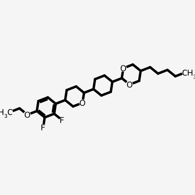 CCCCCC1COC(C2CCC(C3CCC(c4ccc(OCC)c(F)c4F)CO3)CC2)OC1